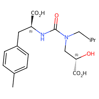 Cc1ccc(C[C@H](NC(=O)N(CC(C)C)C[C@H](O)C(=O)O)C(=O)O)cc1